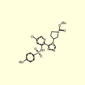 CC(C)(C)OC(=O)N1CCC(n2cnnc2-c2ncc(Cl)cc2NS(=O)(=O)c2ccc(C(C)(C)C)cc2)C1